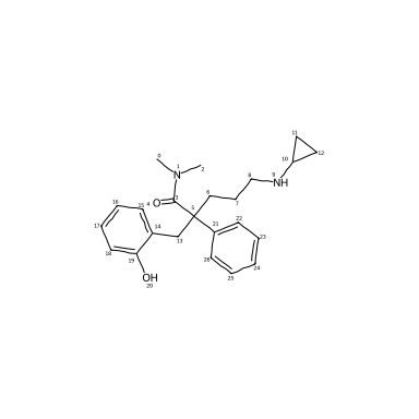 CN(C)C(=O)C(CCCNC1CC1)(Cc1ccccc1O)c1ccccc1